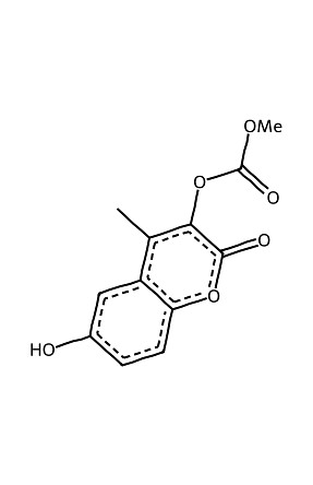 COC(=O)Oc1c(C)c2cc(O)ccc2oc1=O